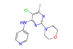 Clc1c(I)nc(N2CCOCC2)nc1Nc1ccncc1